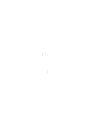 FC(F)(F)c1ccc(Cl)[nH]1